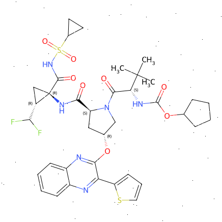 CC(C)(C)[C@H](NC(=O)OC1CCCC1)C(=O)N1C[C@H](Oc2nc3ccccc3nc2-c2cccs2)C[C@H]1C(=O)N[C@]1(C(=O)NS(=O)(=O)C2CC2)C[C@H]1C(F)F